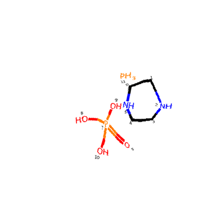 C1CNCCN1.O=P(O)(O)O.P